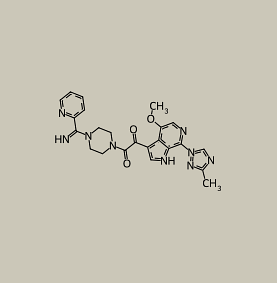 COc1cnc(-n2cnc(C)n2)c2[nH]cc(C(=O)C(=O)N3CCN(C(=N)c4ccccn4)CC3)c12